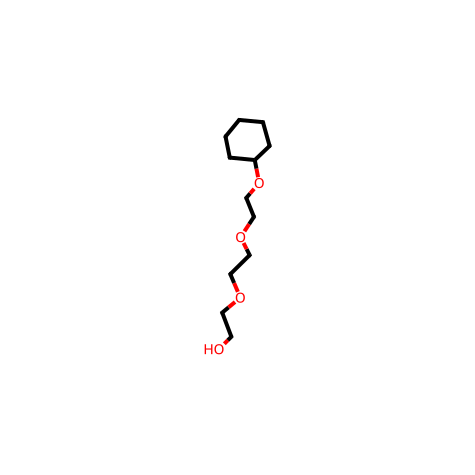 OCCOCCOCCOC1CCCCC1